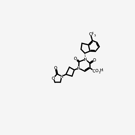 O=C(O)c1cn(C2CC(N3CCOC3=O)C2)c(=O)n([C@@H]2CCc3c2cccc3C(F)(F)F)c1=O